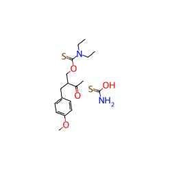 CCN(CC)C(=S)OCC(Cc1ccc(OC)cc1)C(C)=O.NC(O)=S